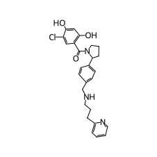 O=C(c1cc(Cl)c(O)cc1O)N1CCCC1c1ccc(CNCCCc2ccccn2)cc1